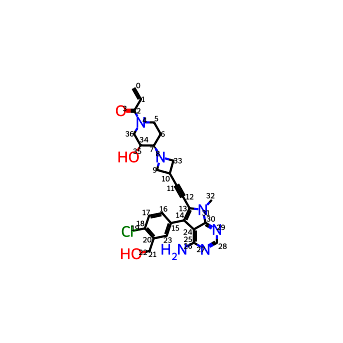 C=CC(=O)N1CC[C@@H](N2CC(C#Cc3c(-c4ccc(Cl)c(CO)c4)c4c(N)ncnc4n3C)C2)[C@@H](O)C1